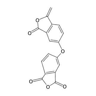 C=C1OC(=O)c2cc(Oc3ccc4c(c3)C(=O)OC4=O)ccc21